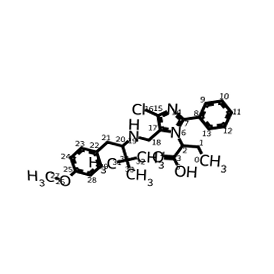 CCC(C(=O)O)n1c(-c2ccccc2)nc(Cl)c1CNC(Cc1ccc(OC)cc1)C(C)(C)C